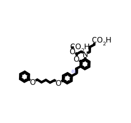 O=C(O)CCCN1CC(OC(=O)O)Oc2c(/C=C/c3ccc(OCCCCCOc4ccccc4)cc3)cccc21